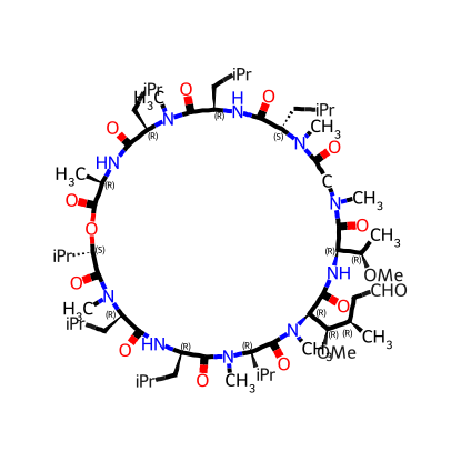 CO[C@H]([C@H](C)CC=O)[C@@H]1C(=O)N[C@H]([C@@H](C)OC)C(=O)N(C)CC(=O)N(C)[C@@H](CC(C)C)C(=O)N[C@H](CC(C)C)C(=O)N(C)[C@H](CC(C)C)C(=O)N[C@H](C)C(=O)O[C@@H](C(C)C)C(=O)N(C)[C@H](CC(C)C)C(=O)N[C@H](CC(C)C)C(=O)N(C)[C@H](C(C)C)C(=O)N1C